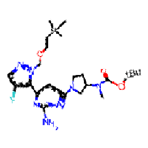 CN(C(=O)OC(C)(C)C)[C@@H]1CCN(c2cc(-c3c(F)cnn3COCC[Si](C)(C)C)nc(N)n2)C1